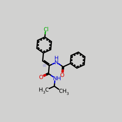 CC(C)NC(=O)/C(=C/c1ccc(Cl)cc1)NC(=O)c1ccccc1